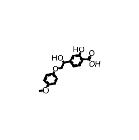 COc1ccc(OCC(O)c2ccc(C(=O)O)c(O)c2)cc1